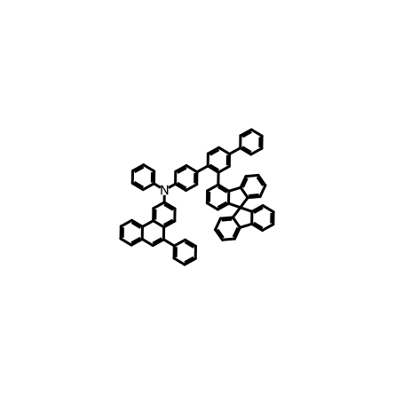 c1ccc(-c2ccc(-c3ccc(N(c4ccccc4)c4ccc5c(-c6ccccc6)cc6ccccc6c5c4)cc3)c(-c3cccc4c3-c3ccccc3C43c4ccccc4-c4ccccc43)c2)cc1